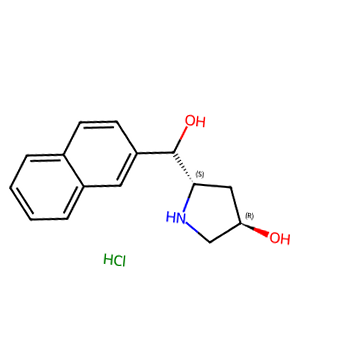 Cl.OC(c1ccc2ccccc2c1)[C@@H]1C[C@@H](O)CN1